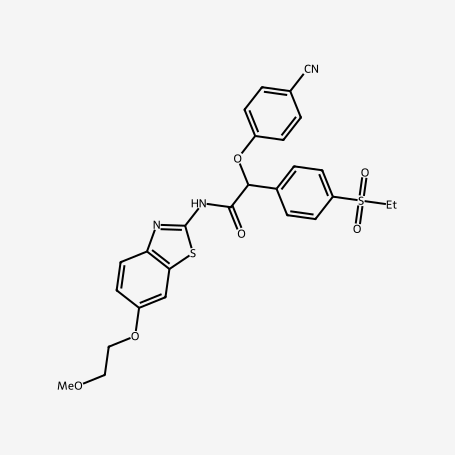 CCS(=O)(=O)c1ccc(C(Oc2ccc(C#N)cc2)C(=O)Nc2nc3ccc(OCCOC)cc3s2)cc1